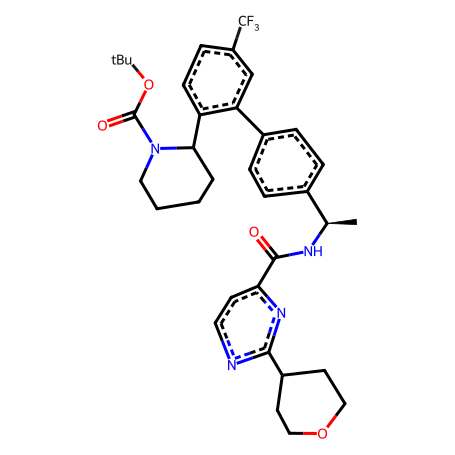 C[C@@H](NC(=O)c1ccnc(C2CCOCC2)n1)c1ccc(-c2cc(C(F)(F)F)ccc2C2CCCCN2C(=O)OC(C)(C)C)cc1